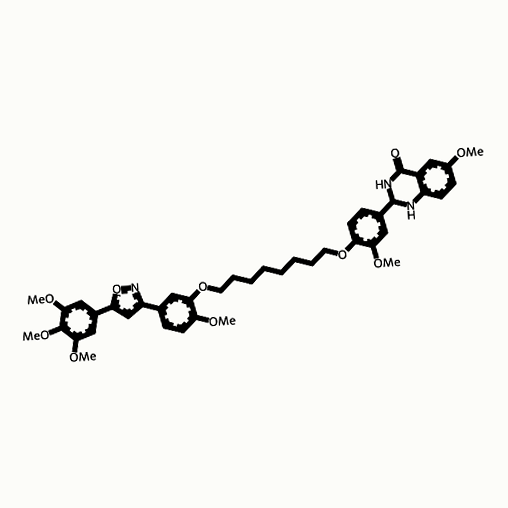 COc1ccc2c(c1)C(=O)NC(c1ccc(OCCCCCCCCOc3cc(-c4cc(-c5cc(OC)c(OC)c(OC)c5)on4)ccc3OC)c(OC)c1)N2